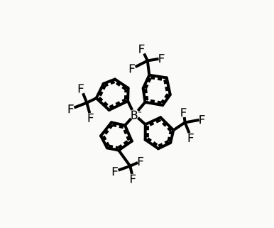 FC(F)(F)c1cccc([B-](c2cccc(C(F)(F)F)c2)(c2cccc(C(F)(F)F)c2)c2cccc(C(F)(F)F)c2)c1